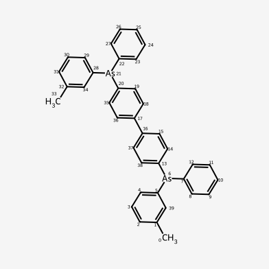 Cc1cccc([As](c2ccccc2)c2ccc(-c3ccc([As](c4ccccc4)c4cccc(C)c4)cc3)cc2)c1